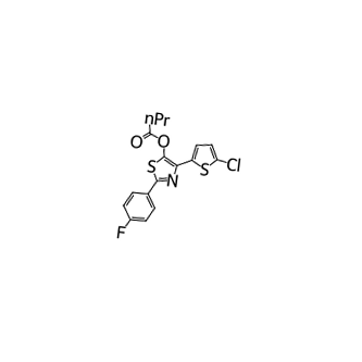 CCCC(=O)Oc1sc(-c2ccc(F)cc2)nc1-c1ccc(Cl)s1